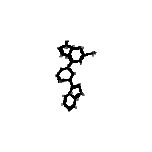 CC(C)c1nc(N2CCNC(c3cnc4ccccn34)C2)c2nc[nH]c2n1